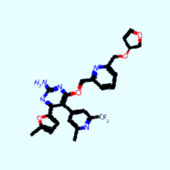 Cc1cc(-c2c(OCc3cccc(CO[C@H]4CCOC4)n3)nc(N)nc2-c2ccc(C)o2)cc(C(F)(F)F)n1